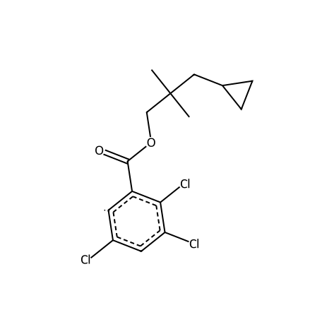 CC(C)(COC(=O)c1[c]c(Cl)cc(Cl)c1Cl)CC1CC1